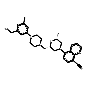 Cc1cc(N2CCN(C[C@H]3CN(c4ccc(C#N)c5ncccc45)C[C@@H](C)O3)CC2)cc(CO)n1